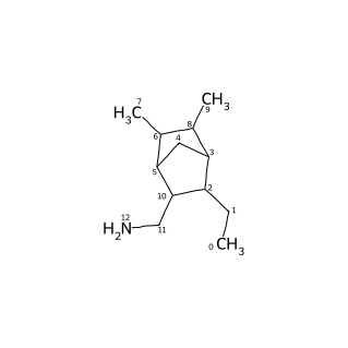 CCC1C2CC(C(C)C2C)C1CN